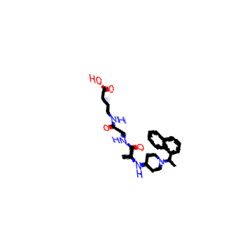 CC(NC1CCN(C(C)c2cccc3ccccc23)CC1)C(=O)NCC(=O)NC/C=C/C(=O)O